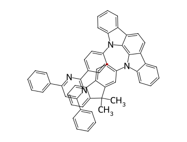 CC1(C)c2ccccc2-c2ccc(-n3c4ccccc4c4ccc5c6ccccc6n(-c6ccc(-c7nc(-c8ccccc8)cc(-c8ccccc8)n7)cc6)c5c43)cc21